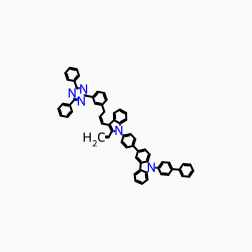 C=Cc1c(/C=C\Cc2cccc(-c3nc(-c4ccccc4)nc(-c4ccccc4)n3)c2)c2ccccc2n1-c1ccc(-c2ccc3c(c2)c2ccccc2n3-c2ccc(-c3ccccc3)cc2)cc1